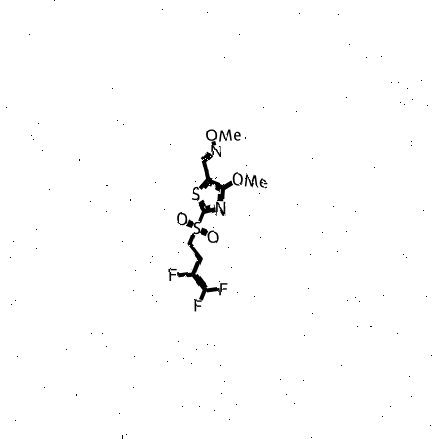 CON=Cc1sc(S(=O)(=O)CCC(F)=C(F)F)nc1OC